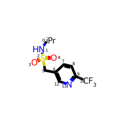 CC(C)NS(=O)(=O)Cc1ccc(C(F)(F)F)nc1